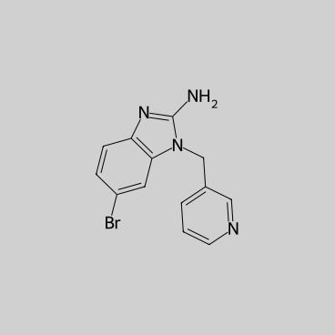 Nc1nc2ccc(Br)cc2n1Cc1cccnc1